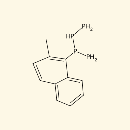 Cc1ccc2ccccc2c1P(P)PP